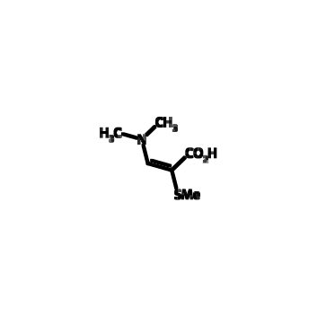 CSC(=CN(C)C)C(=O)O